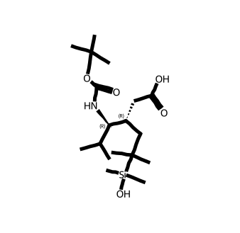 CC(C)[C@@H](NC(=O)OC(C)(C)C)[C@H](CC(=O)O)CC(C)(C)[Si](C)(C)O